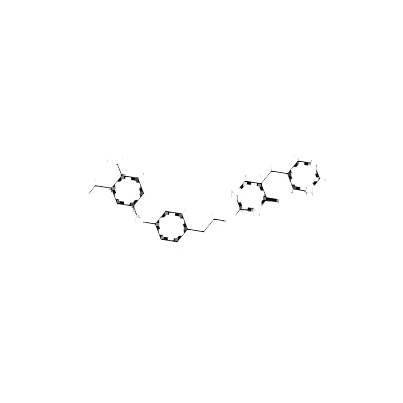 O=c1nc(OCCc2ccc(Oc3ccc(Cl)c(CF)c3)cc2)[nH]cc1Cc1cncnc1